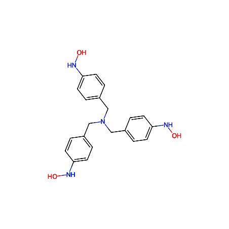 ONc1ccc(CN(Cc2ccc(NO)cc2)Cc2ccc(NO)cc2)cc1